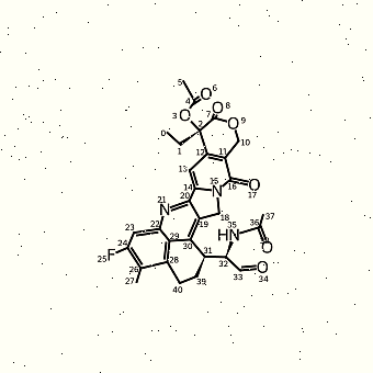 CC[C@@]1(OC(C)=O)C(=O)OCc2c1cc1n(c2=O)Cc2c-1nc1cc(F)c(C)c3c1c2[C@@H]([C@H](C=O)NC(C)=O)CC3